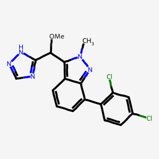 COC(c1ncn[nH]1)c1c2cccc(-c3ccc(Cl)cc3Cl)c2nn1C